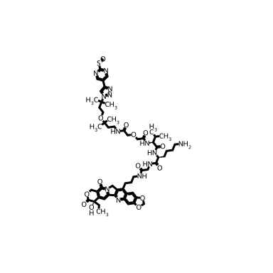 CC[C@@]1(O)C(=O)OCc2c1cc1n(c2=O)Cc2c-1nc1cc3c(cc1c2CCCNC(=O)CNC(=O)[C@H](CCCCN)NC(=O)[C@@H](NC(=O)COCC(=O)NCCC(C)(C)OCCC(C)(C)n1cc(-c2cnc([S+]=O)nc2)nn1)C(C)C)OCO3